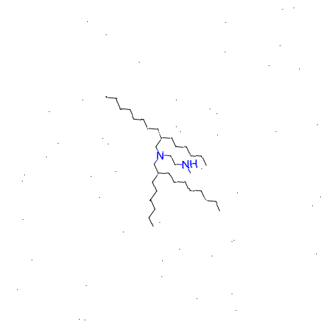 CCCCCCCCC(CCCCCC)CN(CCNC)CC(CCCCCC)CCCCCCCC